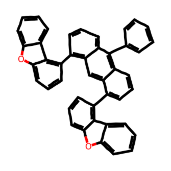 c1ccc(-c2c3cccc(-c4cccc5oc6ccccc6c45)c3cc3c(-c4cccc5oc6ccccc6c45)cccc23)cc1